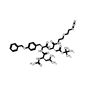 CC(=O)N[C@H](CC(C)C)C(=O)N[C@@H](Cc1ccc(OCc2ccccc2)cc1)C(=O)N[C@@H](CC(=O)OC(C)(C)C)C(=O)NCCOCCN=[N+]=[N-]